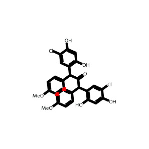 COc1ccc(C(C(=O)C(c2ccc(OC)cc2)c2cc(Cl)c(O)cc2O)c2cc(Cl)c(O)cc2O)cc1